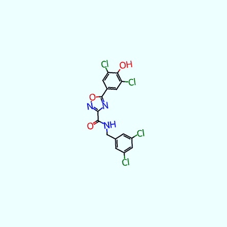 O=C(NCc1cc(Cl)cc(Cl)c1)c1noc(-c2cc(Cl)c(O)c(Cl)c2)n1